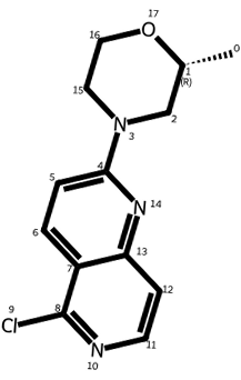 C[C@@H]1CN(c2ccc3c(Cl)nccc3n2)CCO1